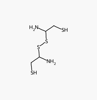 NC(CS)SSC(N)CS